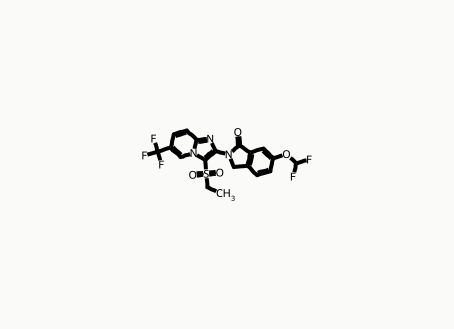 CCS(=O)(=O)c1c(N2Cc3ccc(OC(F)F)cc3C2=O)nc2ccc(C(F)(F)F)cn12